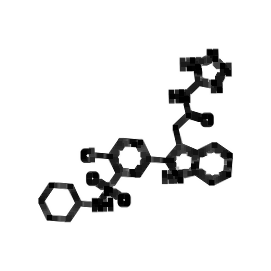 O=C(Cc1c(-c2ccc(Cl)c(S(=O)(=O)NC3CCCCC3)c2)[nH]c2ccccc12)Nc1nnn[nH]1